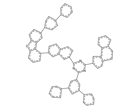 c1ccc(-c2ccc(-c3ccc4oc5cccc(-c6ccc7ccc(-c8nc(-c9cc(-c%10ccccc%10)cc(-c%10ccccc%10)c9)nc(-c9ccc%10ccc%11ccccc%11c%10c9)n8)cc7c6)c5c4c3)cc2)cc1